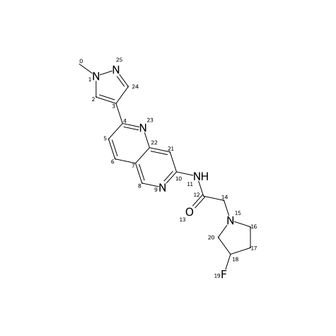 Cn1cc(-c2ccc3cnc(NC(=O)CN4CCC(F)C4)cc3n2)cn1